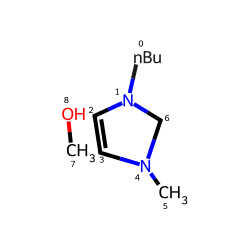 CCCCN1C=CN(C)C1.CO